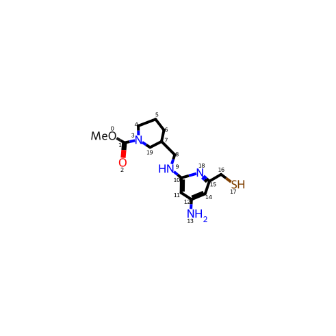 COC(=O)N1CCCC(CNc2cc(N)cc(CS)n2)C1